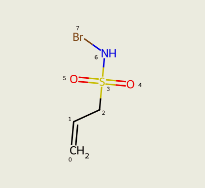 C=CCS(=O)(=O)NBr